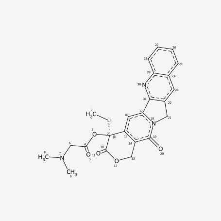 CC[C@@]1(OC(=O)CN(C)C)C(=O)OCc2c1cc1n(c2=O)Cc2cc3ccccc3nc2-1